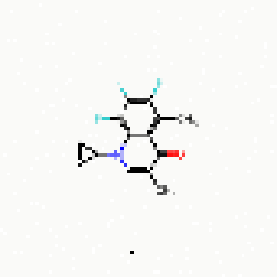 Cc1cn(C2CC2)c2c(F)c(F)c(F)c(C)c2c1=O